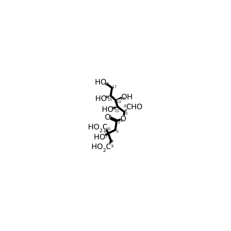 O=C[C@H](OC(=O)CC(O)(CC(=O)O)C(=O)O)[C@@H](O)[C@H](O)[C@H](O)CO